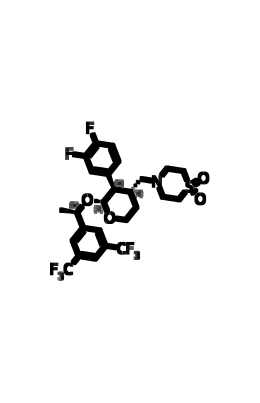 C[C@@H](O[C@H]1OCC[C@@H](CN2CCS(=O)(=O)CC2)[C@@H]1c1ccc(F)c(F)c1)c1cc(C(F)(F)F)cc(C(F)(F)F)c1